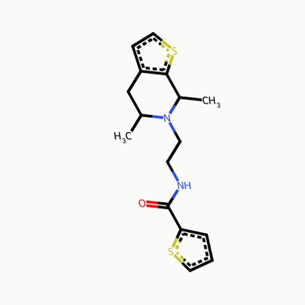 CC1Cc2ccsc2C(C)N1CCNC(=O)c1cccs1